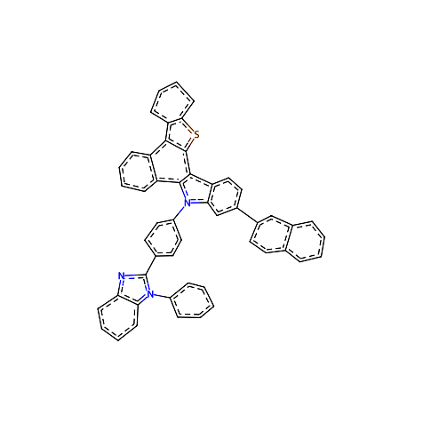 c1ccc(-n2c(-c3ccc(-n4c5cc(-c6ccc7ccccc7c6)ccc5c5c6sc7ccccc7c6c6ccccc6c54)cc3)nc3ccccc32)cc1